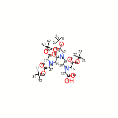 CC(C)(C)OC(=O)CN(CCN(CC(=O)O)CC(=O)OC(C)(C)C)CCN(CC(=O)OC(C)(C)C)CC(=O)OC(C)(C)C